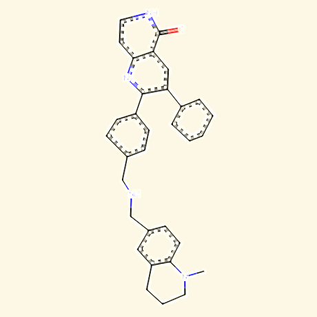 CN1CCCc2cc(CNCc3ccc(-c4nc5cc[nH]c(=O)c5cc4-c4ccccc4)cc3)ccc21